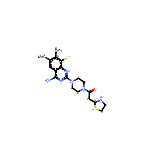 COc1cc2c(N)nc(N3CCN(C(=O)CC4NCCS4)CC3)nc2c(F)c1OC